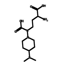 CN(C)C1CCN(N(CCC(N)C(=O)O)C(=O)O)CC1